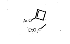 CC(=O)OC1=CCC1.CCOC(C)=O